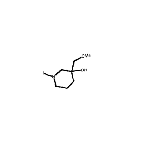 COCC1(O)CCCN(I)C1